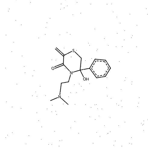 C=C1SCC(O)(c2ccccc2)N(CCN(C)C)C1=O